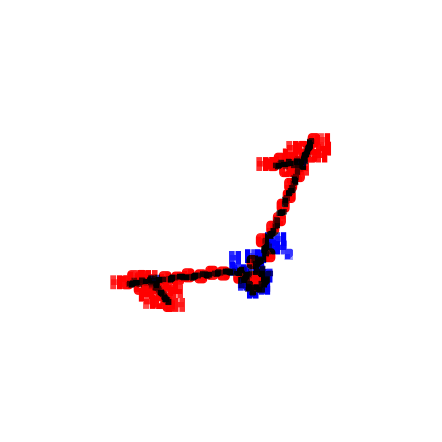 CN(CC(=O)NCCOCCOCCOCCOCCOCCOCCN(C[C@H](O)[C@@H](O)[C@H](O)[C@H](O)CO)C[C@H](O)[C@@H](O)[C@H](O)[C@H](O)CO)C(=O)CN(C)C(=O)CN(C)C(=O)CN(C)C(=O)CN(C)C(=O)CN(C)C(=O)CNC(=O)C[C@H](N)C(=O)NCCOCCOCCOCCOCCOCCOCCN(C[C@H](O)[C@@H](O)[C@H](O)[C@H](O)CO)C[C@H](O)[C@@H](O)[C@H](O)[C@H](O)CO